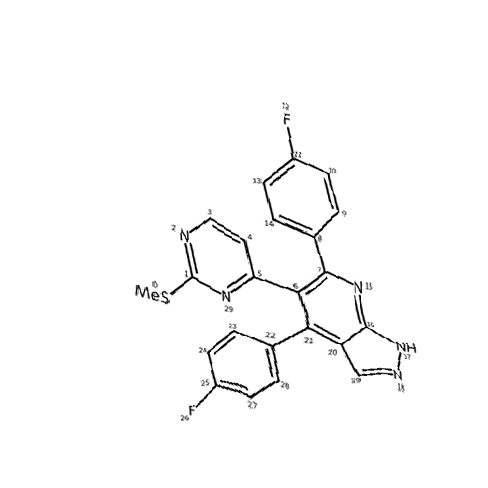 CSc1nccc(-c2c(-c3ccc(F)cc3)nc3[nH]ncc3c2-c2ccc(F)cc2)n1